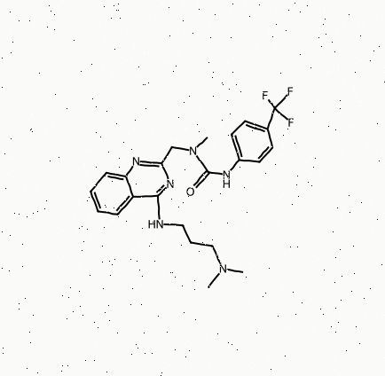 CN(C)CCCNc1nc(CN(C)C(=O)Nc2ccc(C(F)(F)F)cc2)nc2ccccc12